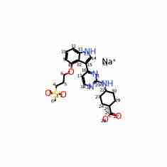 CS(=O)(=O)CCCOc1cccc2[nH]cc(-c3ccnc(NC4CCC(C(=O)[O-])CC4)n3)c12.[Na+]